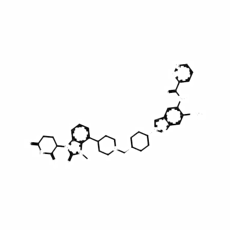 COc1cc2nn([C@H]3CC[C@H](CN4CCC(c5cccc6c5n(C)c(=O)n6C5CCC(=O)NC5=O)CC4)CC3)cc2cc1NC(=O)c1cccnn1